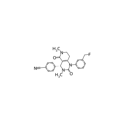 CN1CCC2=C(C1=O)[C@@H](c1ccc(C#N)cc1)N(C)C(=O)N2c1cccc(CF)c1